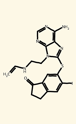 C=CNCCn1c(Sc2cc3c(cc2I)CCC3=O)nc2c(N)ncnc21